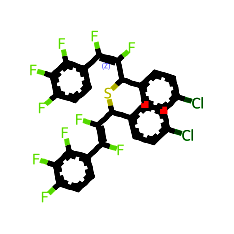 FC(=C(F)C(SC(/C(F)=C(/F)c1ccc(F)c(F)c1F)c1ccc(Cl)cc1)c1ccc(Cl)cc1)c1ccc(F)c(F)c1F